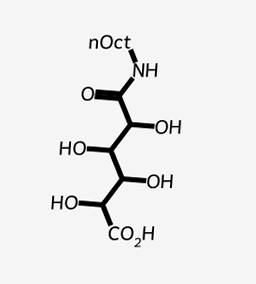 CCCCCCCCNC(=O)C(O)C(O)C(O)C(O)C(=O)O